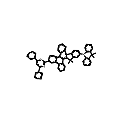 CC1(C)c2ccccc2N(c2ccc3c(c2)C(C)(C)c2c-3c3ccccc3c3c4ccc(-c5nc(-c6ccccc6)cc(-c6ccccc6)n5)cc4c4ccccc4c23)c2ccccc21